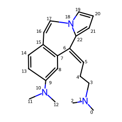 CN(C)CCC=C1c2cc(N(C)C)ccc2C=Cn2cccc21